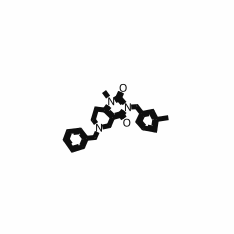 Cc1cccc(Cn2c(=O)c3c(n(C)c2=O)CCN(Cc2ccccc2)C3)c1